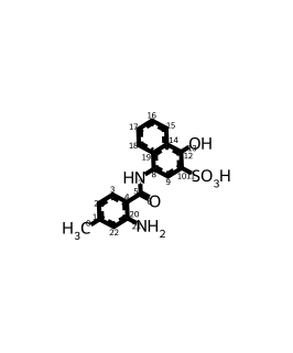 Cc1ccc(C(=O)Nc2cc(S(=O)(=O)O)c(O)c3ccccc23)c(N)c1